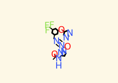 CC(=O)Nc1ccn(C(=O)N2CCN(Cc3cc(Oc4cncnc4)cc(C(F)(F)F)c3)CC2)n1